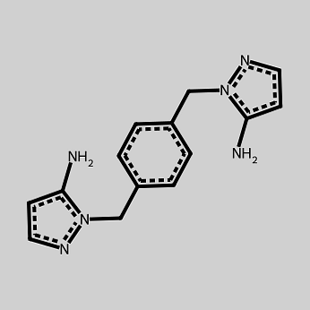 Nc1ccnn1Cc1ccc(Cn2nccc2N)cc1